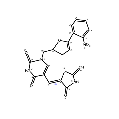 N=C1NC(=O)/C(=C/c2cn(CC3CC=C(c4ccccc4[N+](=O)[O-])O3)c(=O)[nH]c2=O)S1